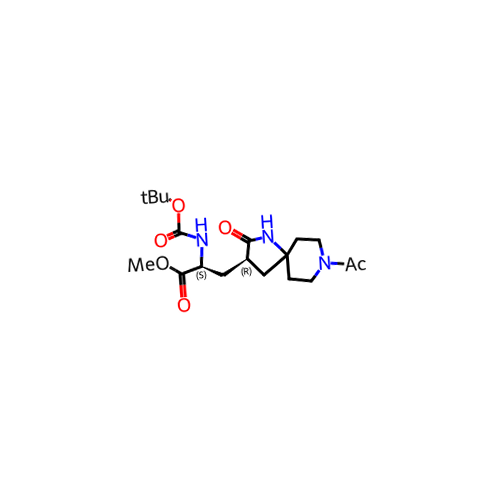 COC(=O)[C@H](C[C@@H]1CC2(CCN(C(C)=O)CC2)NC1=O)NC(=O)OC(C)(C)C